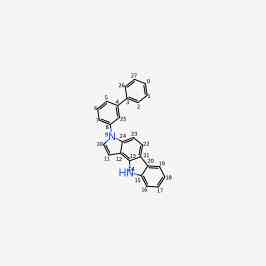 c1ccc(-c2cccc(-n3ccc4c5[nH]c6ccccc6c5ccc43)c2)cc1